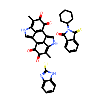 Cc1c(=O)c(=O)c2c3c[nH]c4c(C)c(=O)c(=O)c(c5c[nH]c1c52)c43.O=C1c2ccccc2C(=S)N1C1CCCCC1.Sc1nc2ccccc2[nH]1